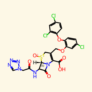 O=C(Cn1cnnn1)NC1C(=O)N2C(C(=O)O)=C(COc3cc(Cl)ccc3Oc3ccc(Cl)cc3Cl)C[S+]([O-])[C@@H]12